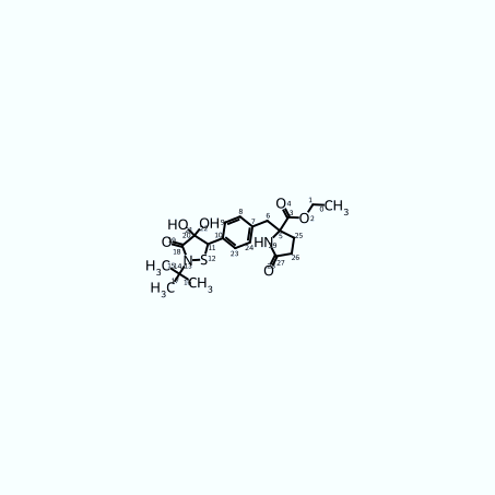 CCOC(=O)C1(Cc2ccc(C3SN(C(C)(C)C)C(=O)C3(O)O)cc2)CCC(=O)N1